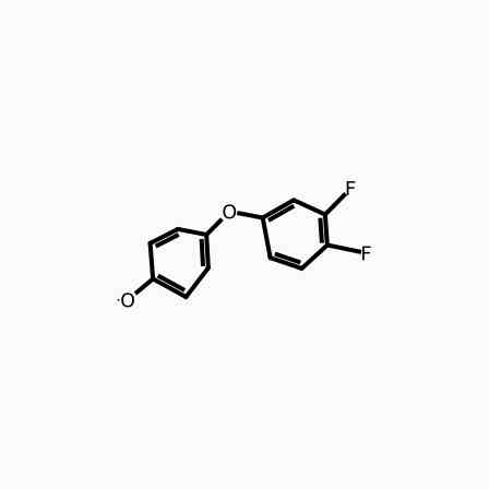 [O]c1ccc(Oc2ccc(F)c(F)c2)cc1